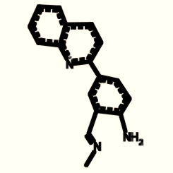 C/N=C/c1cc(-c2ccc3ccccc3n2)ccc1N